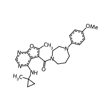 COc1ccc(N2CCCN(C(=O)c3c(C)oc4ncnc(NC5(C)CC5)c34)CC2)cc1